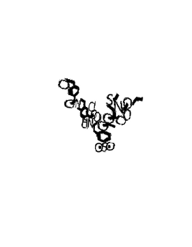 C=CCOC(=O)N1C(C)SCC1C(=O)OC(C)OC(=O)C(Cc1cccc(S(C)(=O)=O)c1)NC(=O)c1c(Cl)cc2c(c1Cl)CCN(C(=O)c1ccc3ccoc3c1)C2